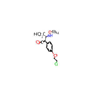 CC(C)(C)ON[C@H](C(=O)O)C(=C=O)c1ccc(OCCCl)cc1